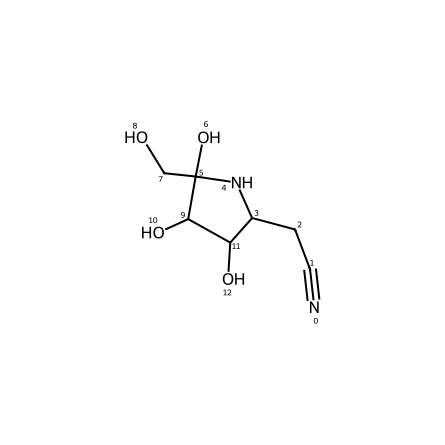 N#CCC1NC(O)(CO)C(O)C1O